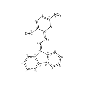 O=CC1=CC=C([N+](=O)[O-])CC1=NN=C1c2ccccc2-c2ccccc21